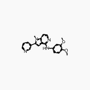 COc1ccc(Nc2nccc3c2cc(-c2cccnc2)n3C)cc1OC